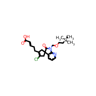 C[Si](C)(C)CCOCN1C(=O)C2(CC(Cl)=C(CCC=CC(=O)O)C2)c2cccnc21